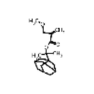 C=C(COC)C(=O)OC(C)(C)C12CC3CC(CC(C3)C1)C2